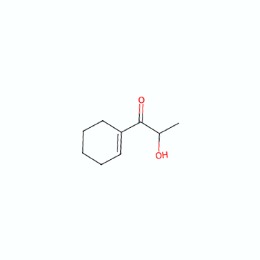 CC(O)C(=O)C1=CCCCC1